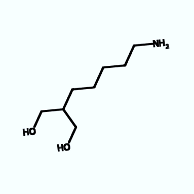 NCCCCCC(CO)CO